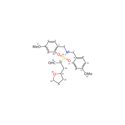 COc1ccc(CN(Cc2ccc(OC)cc2)S(=O)(=O)C(C=O)CC2CCCO2)cc1